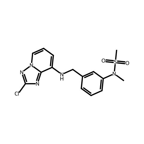 CN(c1cccc(CNc2cccn3nc(Cl)nc23)c1)S(C)(=O)=O